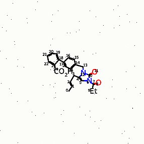 C/C=C/Cc1cn(C(=O)CC)c(=O)n1Cc1ccc(-c2ccccc2C(=O)O)cc1